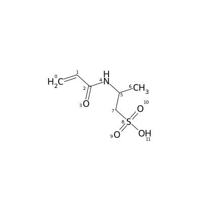 C=CC(=O)NC(C)CS(=O)(=O)O